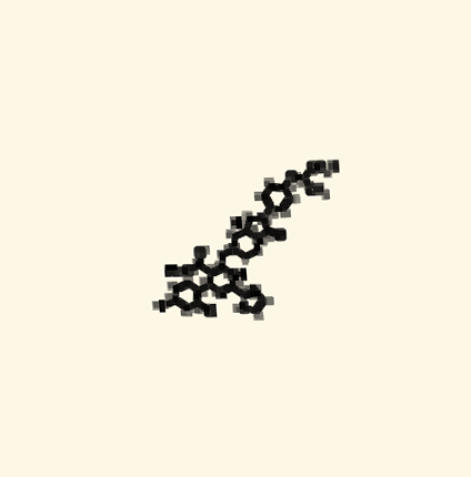 COC(=O)C1=C(CN2CCN3C(=O)N(c4ccc(OC(C)C(=O)O)cc4)C[C@@H]3C2)NC(c2nccs2)=NC1c1ccc(F)cc1Cl